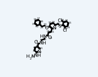 NNc1ccc(C(=O)NCCNC(=O)/C=C/c2nc(CSc3c(Cl)cccc3Cl)ccc2OCCc2ccccc2)cn1